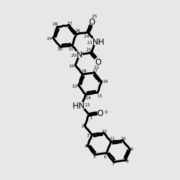 O=C(Cc1ccc2ccccc2c1)Nc1cccc(Cn2c(=O)[nH]c(=O)c3ccccc32)c1